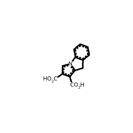 O=C(O)c1cn2c(c1C(=O)O)Cc1ccccc1-2